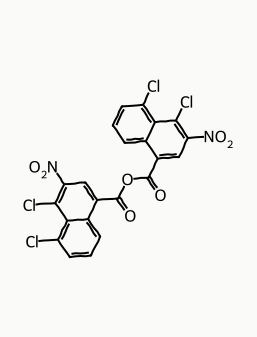 O=C(OC(=O)c1cc([N+](=O)[O-])c(Cl)c2c(Cl)cccc12)c1cc([N+](=O)[O-])c(Cl)c2c(Cl)cccc12